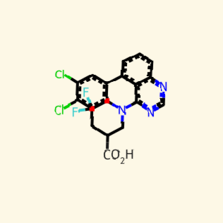 O=C(O)C1CN(c2ncnc3cccc(-c4ccc(Cl)c(Cl)c4)c23)CC(F)(F)C1